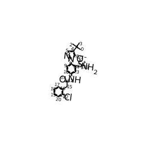 CC(C)(C)c1cnn(-c2ccc(NC(=O)Cc3ccccc3Cl)cc2[S+](N)[O-])c1